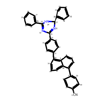 N#Cc1ccc(-c2cccc3c(-c4ccc(C5=N[C@H](c6ccccc6)NC(c6ccccc6)=N5)cc4)cccc23)cc1